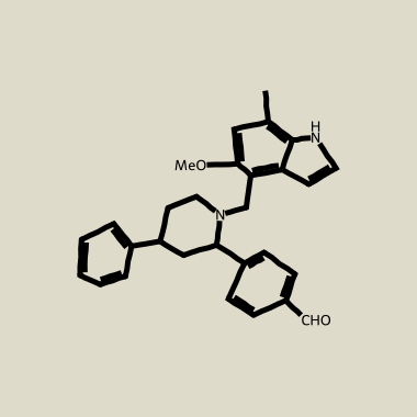 COc1cc(C)c2[nH]ccc2c1CN1CCC(c2ccccc2)CC1c1ccc(C=O)cc1